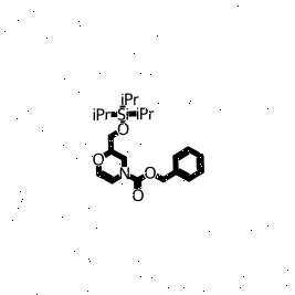 CC(C)[Si](OCC1CN(C(=O)OCc2ccccc2)C=CO1)(C(C)C)C(C)C